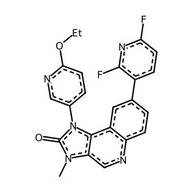 CCOc1ccc(-n2c(=O)n(C)c3cnc4ccc(-c5ccc(F)nc5F)cc4c32)cn1